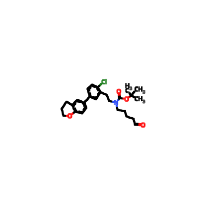 CC(C)(C)OC(=O)N(CCCCC=O)CCc1cc(-c2ccc3c(c2)CCCO3)ccc1Cl